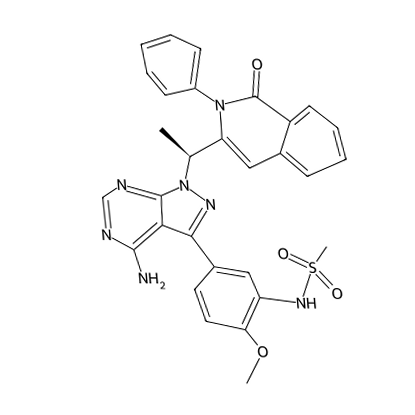 COc1ccc(-c2nn([C@@H](C)c3cc4ccccc4c(=O)n3-c3ccccc3)c3ncnc(N)c23)cc1NS(C)(=O)=O